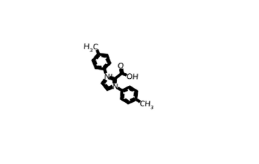 Cc1ccc(-n2cc[n+](-c3ccc(C)cc3)c2C(=O)O)cc1